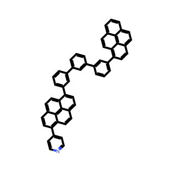 c1cc(-c2cccc(-c3ccc4ccc5cccc6ccc3c4c56)c2)cc(-c2cccc(-c3ccc4ccc5c(-c6ccncc6)ccc6ccc3c4c65)c2)c1